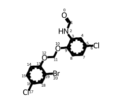 O=CNc1cc(Cl)ccc1OCOc1ccc(Cl)cc1Br